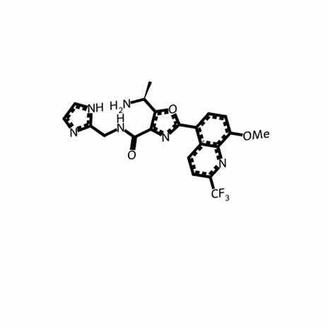 COc1ccc(-c2nc(C(=O)NCc3ncc[nH]3)c([C@H](C)N)o2)c2ccc(C(F)(F)F)nc12